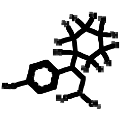 [2H]C1([2H])C([2H])([2H])C([2H])([2H])C(O)(C(CN(C)C)c2ccc(OC)cc2)C([2H])([2H])C1([2H])[2H]